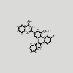 CCCC(NC(=O)c1ccc(-c2cc(F)ccc2-c2nc3ccccc3[nH]2)c(C(=O)O)c1)c1ccccc1